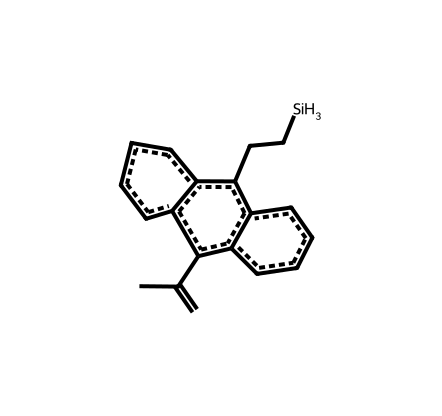 C=C(C)c1c2ccccc2c(CC[SiH3])c2ccccc12